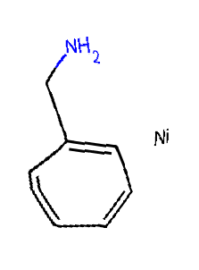 NCc1ccccc1.[Ni]